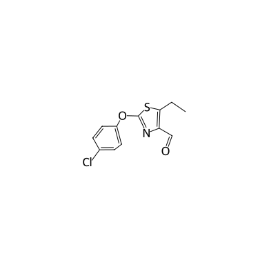 CCc1sc(Oc2ccc(Cl)cc2)nc1C=O